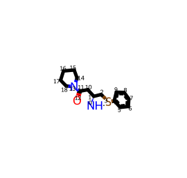 [NH][C@@H](CSc1ccccc1)CC(=O)N1CCCCC1